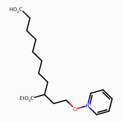 CCOC(=O)C(CCCCCCCC(=O)O)CCO[n+]1ccccc1